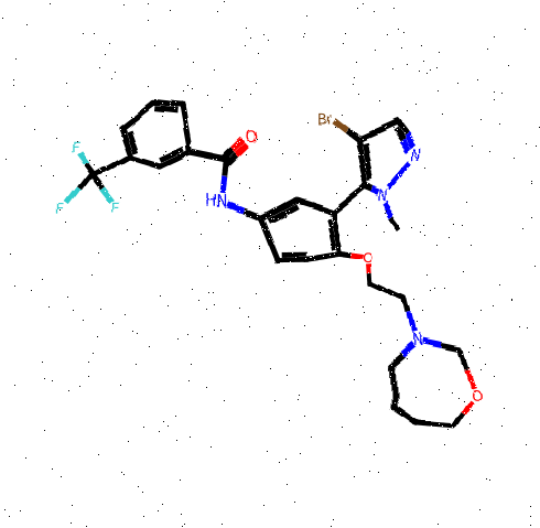 Cn1ncc(Br)c1-c1cc(NC(=O)c2cccc(C(F)(F)F)c2)ccc1OCCN1CCCCOC1